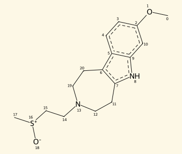 COc1ccc2c3c([nH]c2c1)CCN(CC[S+](C)[O-])CC3